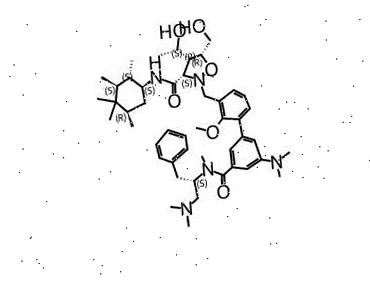 COc1c(CN2O[C@@H](CO)[C@@H]([C@H](C)O)[C@H]2C(=O)N[C@H]2C[C@@H](C)C(C)(C)[C@@H](C)[C@@H]2C)cccc1-c1cc(C(=O)N(C)[C@@H](Cc2ccccc2)CN(C)C)cc(N(C)C)c1